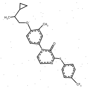 Cc1cc(-n2ccnc(Sc3ccc(C(F)(F)F)cc3)c2=O)ccc1OCC(C)C1CC1